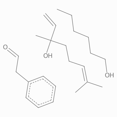 C=CC(C)(O)CCC=C(C)C.CCCCCCO.O=CCc1ccccc1